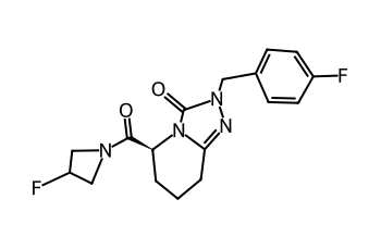 O=C([C@@H]1CCCc2nn(Cc3ccc(F)cc3)c(=O)n21)N1CC(F)C1